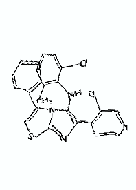 Cc1cccc(Cl)c1Nc1c(-c2ccncc2Cl)nc2scc(-c3ccccc3)n12